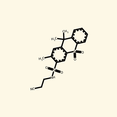 Cc1cc2c(cc1S(=O)(=O)NCCC#N)S(=O)(=O)c1ccccc1C2(C)C